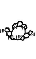 c1cc2c3c4[nH]c(cc4cc2[nH]1)Cc1cc2cc4[nH]ccc4c(c2[nH]1)-c1ccc2ccc4ccc-3nc4c2n1